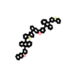 c1ccc2cc3c(cc2c1)oc1ccc(-c2c4ccccc4c(-c4cccc5c4sc4ccc(-c6cccc7cc8c(cc67)oc6ccc(-c7c9ccccc9c(-c9ccc%10sc%11ccccc%11c%10c9)c9ccccc79)cc68)cc45)c4ccccc24)cc13